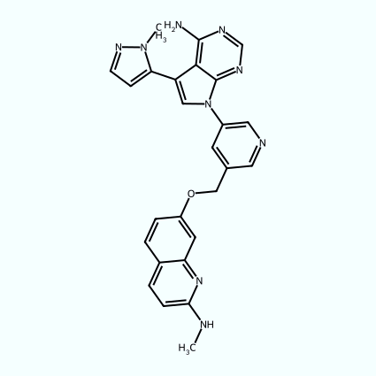 CNc1ccc2ccc(OCc3cncc(-n4cc(-c5ccnn5C)c5c(N)ncnc54)c3)cc2n1